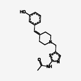 CC(=O)Nc1ncc(CN2CCC(=Cc3cccc(O)c3)CC2)s1